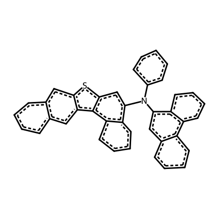 c1ccc(N(c2cc3ccccc3c3ccccc23)c2cc3sc4cc5ccccc5cc4c3c3ccccc23)cc1